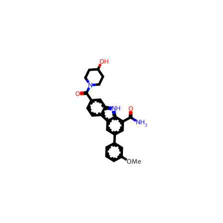 COc1cccc(-c2cc(C(N)=O)c3[nH]c4cc(C(=O)N5CCC(O)CC5)ccc4c3c2)c1